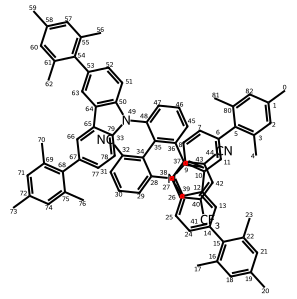 Cc1cc(C)c(-c2ccc3c(c2)c2cc(-c4c(C)cc(C)cc4C)ccc2n3-c2cccc(C#N)c2-c2c(-c3ccc(C(F)(F)F)cc3C#N)cccc2-n2c3ccc(-c4c(C)cc(C)cc4C)cc3c3cc(-c4c(C)cc(C)cc4C)ccc32)c(C)c1